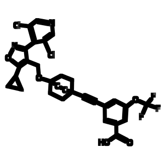 O=C(O)c1cc(C#CC23CCC(OCc4c(-c5c(Cl)cncc5Cl)noc4C4CC4)(CC2)CC3)cc(OC(F)(F)F)c1